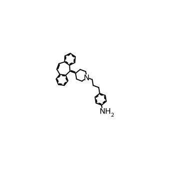 Nc1ccc(CCCN2CCC(=C3c4ccccc4C=Cc4ccccc43)CC2)cc1